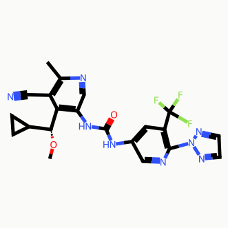 CO[C@@H](c1c(NC(=O)Nc2cnc(-n3nccn3)c(C(F)(F)F)c2)cnc(C)c1C#N)C1CC1